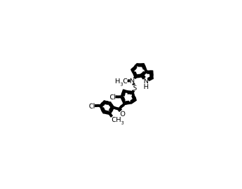 Cc1cc(Cl)ccc1C(=O)c1ccc(SN(C)c2cccc3cc[nH]c23)cc1Cl